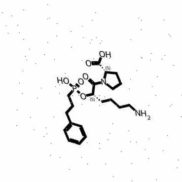 NCCCC[C@H](OP(=O)(O)CCCc1ccccc1)C(=O)N1CCC[C@H]1C(=O)O